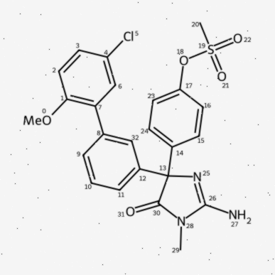 COc1ccc(Cl)cc1-c1cccc(C2(c3ccc(OS(C)(=O)=O)cc3)N=C(N)N(C)C2=O)c1